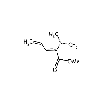 C=CC=C(C(=O)OC)N(C)C